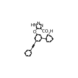 O=C(O)c1nn[nH]c1Oc1cc(C#Cc2ccccc2)cc(-c2ccccc2)c1